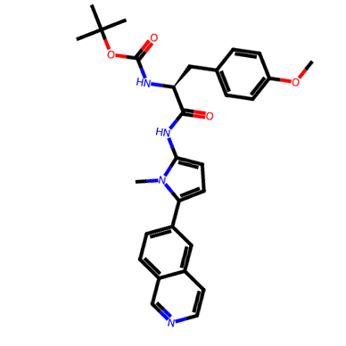 COc1ccc(C[C@H](NC(=O)OC(C)(C)C)C(=O)Nc2ccc(-c3ccc4cnccc4c3)n2C)cc1